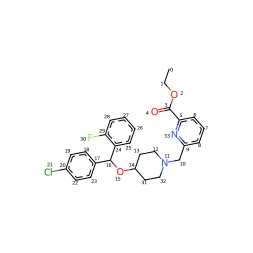 CCOC(=O)c1cccc(CN2CCC(OC(c3ccc(Cl)cc3)c3ccccc3F)CC2)n1